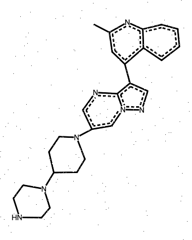 Cc1cc(-c2cnn3cc(N4CCC(N5CCNCC5)CC4)cnc23)c2ccccc2n1